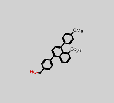 COc1ccc(-c2ccc(-c3ccc(CO)cc3)c3cccc(C(=O)O)c23)cc1